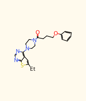 CCc1cc2c(N3CCN(C(=O)CCCOc4ccccc4)CC3)ncnc2s1